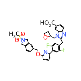 CS(=O)(=O)N1Cc2ccc(COc3cccc(-c4cc(F)c(Cc5nc6ccc(C(=O)O)cc6n5C[C@@H]5CCO5)cc4F)n3)cc2C1